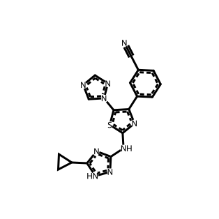 N#Cc1cccc(-c2nc(Nc3n[nH]c(C4CC4)n3)sc2-n2cncn2)c1